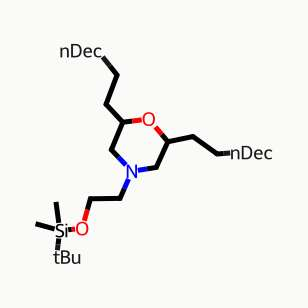 CCCCCCCCCCCCC1CN(CCO[Si](C)(C)C(C)(C)C)CC(CCCCCCCCCCCC)O1